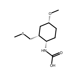 CO[C@@H]1CC[C@H](NC(=O)O)[C@H](CSC)C1